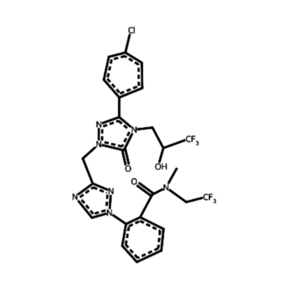 CN(CC(F)(F)F)C(=O)c1ccccc1-n1cnc(Cn2nc(-c3ccc(Cl)cc3)n(CC(O)C(F)(F)F)c2=O)n1